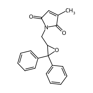 CC1=CC(=O)N(CC2OC2(c2ccccc2)c2ccccc2)C1=O